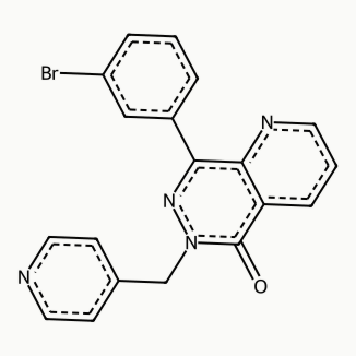 O=c1c2cccnc2c(-c2cccc(Br)c2)nn1Cc1ccncc1